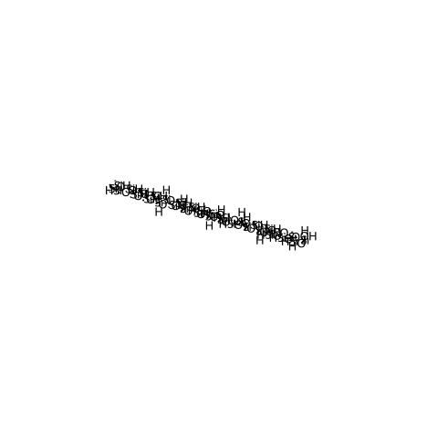 C[SiH](O)O[SiH](C)O[SiH](C)O[SiH](C)O[SiH](C)O[SiH](C)O[SiH](C)O[SiH](C)O[SiH](C)O[SiH](C)O[SiH](C)O[SiH](C)O[SiH](C)O[SiH](C)O[SiH](C)O[SiH](C)O[SiH](C)O[SiH](C)O[SiH](C)O[SiH](C)O[SiH](C)O[SiH](C)O[SiH](C)O[SiH](C)O[SiH](C)O[SiH](C)O[SiH](C)O[SiH](C)O[SiH](C)O[SiH](C)O[SiH](C)[Si](C)(C)C